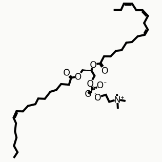 CC/C=C\C/C=C\C/C=C\CCCCCCCC(=O)O[C@H](COC(=O)CCCCCCCCC/C=C\CCCCCC)COP(=O)([O-])OCC[N+](C)(C)C